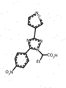 CCC(C(=O)O)n1nc(-c2ccncc2)nc1-c1ccc([N+](=O)[O-])cc1